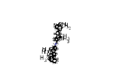 CC1(C)CCN(c2ccc3c(c2)C(C)(C)c2cc(/C=C/c4ccc5c(c4)C(C)(C)c4cc(N6c7ccccc7C=CC6(C)C)ccc4-5)ccc2-3)c2ccccc21